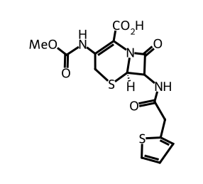 COC(=O)NC1=C(C(=O)O)N2C(=O)C(NC(=O)Cc3cccs3)[C@H]2SC1